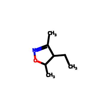 CCC1C(C)=NOC1C